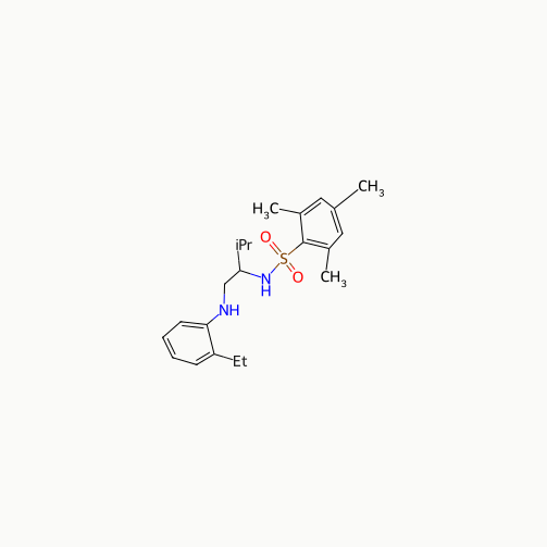 CCc1ccccc1NCC(NS(=O)(=O)c1c(C)cc(C)cc1C)C(C)C